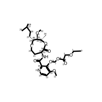 CCOCC(=O)OCOc1c(OC)ccnc1C(=O)N[C@H]1CCC[C@H](CCC(C)C)[C@@H](OC)[C@H](C)OC1=O